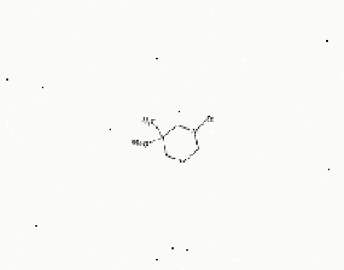 CCN1CCCC(C)(OC)C1